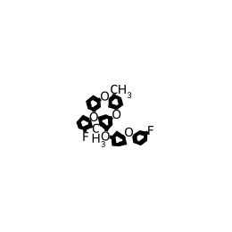 Cc1ccc(Oc2ccc(C)c(Oc3cccc(Oc4cccc(F)c4)c3)c2)cc1Oc1cccc(Oc2cccc(F)c2)c1